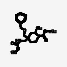 CCCCOC(=O)N1CCC(CNC(=O)OC(C)(C)C)(COCc2ccccc2)CC1C(C)(C)C